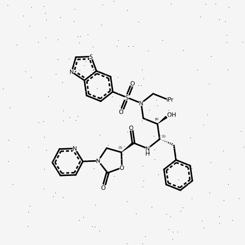 CC(C)CN(C[C@@H](O)[C@H](Cc1ccccc1)NC(=O)[C@@H]1CN(c2ccccn2)C(=O)O1)S(=O)(=O)c1ccc2ncsc2c1